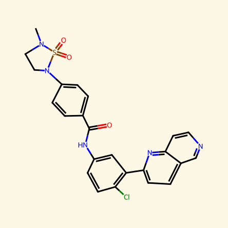 CN1CCN(c2ccc(C(=O)Nc3ccc(Cl)c(-c4ccc5cnccc5n4)c3)cc2)S1(=O)=O